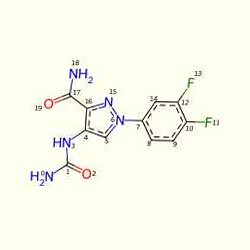 NC(=O)Nc1cn(-c2ccc(F)c(F)c2)nc1C(N)=O